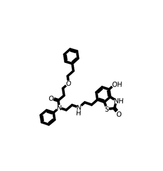 O=C(CCOCCc1ccccc1)N(CCNCCc1ccc(O)c2[nH]c(=O)sc12)c1ccccc1